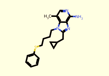 Cc1cnc(N)c2nc(CC3CC3)n(CCCCSc3ccccc3)c12